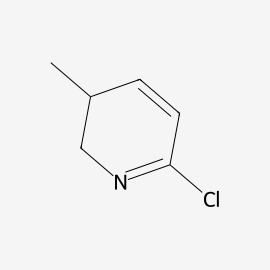 CC1C=CC(Cl)=NC1